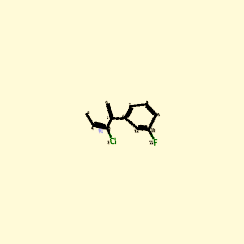 C=C(/C(Cl)=C\C)c1cccc(F)c1